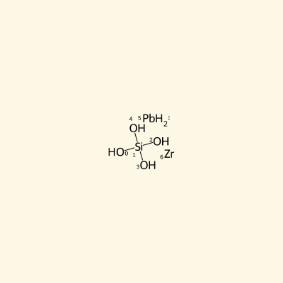 O[Si](O)(O)O.[PbH2].[Zr]